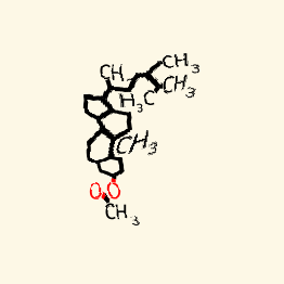 CCC(CCC(C)C1CCC2C1CCC1C2CCC2CC(OC(C)=O)CCC21C)C(C)C